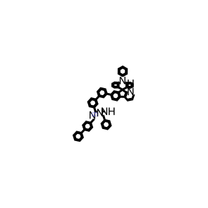 C1=CC2=C(NC1)C1(c3cc(-c4cccc(-c5cccc(/C(=N/Cc6ccc(-c7ccccc7)cc6)N6NC6c6ccccc6)c5)c4)ccc32)c2ccccc2N(c2ccccc2)c2ccccc21